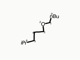 [CH2]CCCCOCCCC(C)C